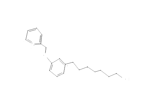 OCCCCCCCc1cccc(OCc2ccccn2)c1